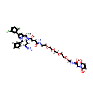 CC(C)(C)[C@H](c1cc(-c2cc(F)ccc2F)cn1Cc1ccccc1)N(CCCN)C(=O)CCC(=O)NCCOCCOCCOCCOCCNC(=O)CN1C(=O)C=CC1O